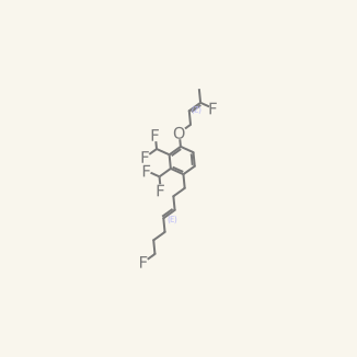 C/C(F)=C/COc1ccc(CC/C=C/CCCF)c(C(F)F)c1C(F)F